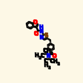 CC(C)N(C(=O)c1ccc(Cc2cnc(NC(=O)c3coc4ccccc34)s2)cc1)C(C)C